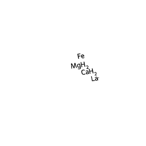 [CaH2].[Fe].[La].[MgH2]